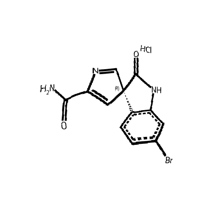 Cl.NC(=O)C1=C[C@@]2(C=N1)C(=O)Nc1cc(Br)ccc12